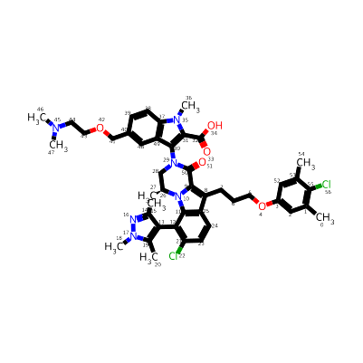 Cc1cc(OCCCc2c3n(c4c(-c5c(C)nn(C)c5C)c(Cl)ccc24)[C@H](C)CN(c2c(C(=O)O)n(C)c4ccc(COCCN(C)C)cc24)C3=O)cc(C)c1Cl